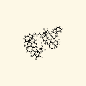 C[C@@H](C(=S)N[C@H]1CCS[C@H]2CC(C)(C)[C@@H](C(=O)N[C@H]3c4ccccc4C[C@H]3OCCCCCCO[C@@H]3Cc4ccccc4[C@@H]3NC(=O)[C@H]3N4C(=O)[C@@H](NC(=S)[C@H](C)N(C)C(=O)OC(C)(C)C)CCS[C@H]4CC3(C)C)N2C1=O)N(C)C(=O)OC(C)(C)C